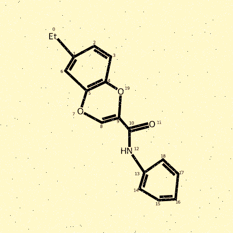 CCc1ccc2c(c1)OC=C(C(=O)Nc1ccccc1)O2